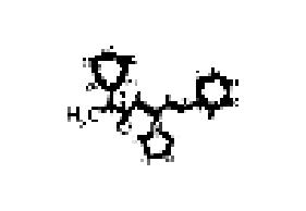 CC(C(=O)C=C(C=Cc1ccccc1)N1CCCC1)c1ccccc1